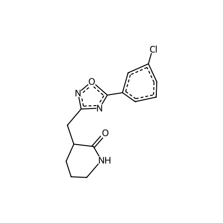 O=C1NCCCC1Cc1noc(-c2cccc(Cl)c2)n1